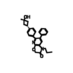 CCCN1C(=O)COc2nc(-c3ccc([C@H]4C[C@@](C)(O)C4)cc3)c(-c3ccccc3)cc21